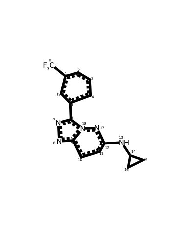 FC(F)(F)c1cccc(-c2nnc3ccc(NC4CC4)nn23)c1